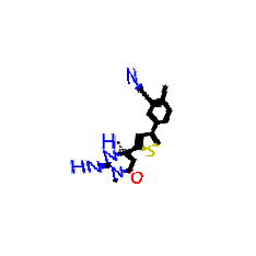 Cc1ccc(-c2csc([C@@]3(C)CC(=O)N(C)C(=N)N3)c2)cc1C#N